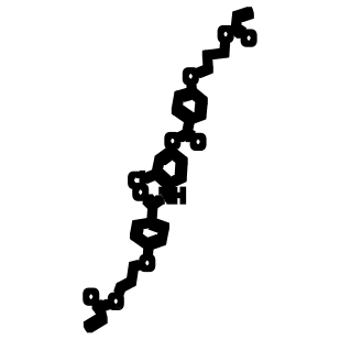 C=CC(=O)OCCCOc1ccc(C(=O)Nc2ccc(OC(=O)c3ccc(OCCCOC(=O)C=C)cc3)cc2Cl)cc1